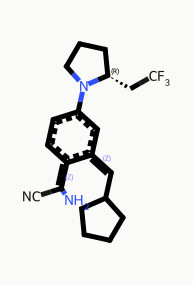 N#C/C(N)=c1\ccc(N2CCC[C@@H]2CC(F)(F)F)c\c1=C\C1CCCC1